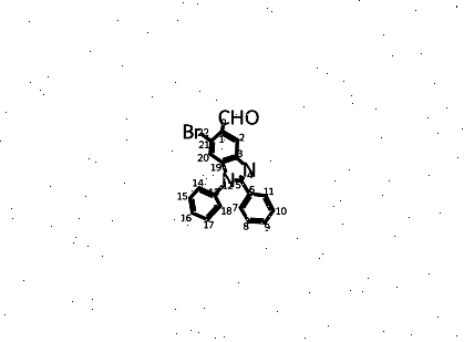 O=Cc1cc2nc(-c3ccccc3)n(-c3ccccc3)c2cc1Br